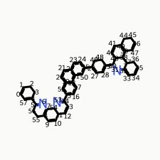 C1=CCCC(C2=NC3=C(C=CC4C=CC(c5ccc6c(ccc7ccc(C8=CC=C(C9=NC%10=CC=CCC%10C%10C%11=C(C=CC9%10)CCC=C%11)CC8)cc76)c5)=NC34)CC2)=C1